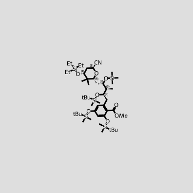 CC[Si](CC)(CC)O[C@@H]1C[C@@H](C#N)O[C@H](C[C@H](O[Si](C)(C)C)[C@@H](C)[C@@H](Cc2cc(O[Si](C)(C)C(C)(C)C)cc(O[Si](C)(C)C(C)(C)C)c2C(=O)OC)O[Si](C)(C)C(C)(C)C)C1(C)C